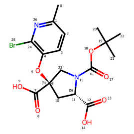 Cc1ccc(O[C@]2(C(=O)O)C[C@@H](C(=O)O)N(C(=O)OC(C)(C)C)C2)c(Br)n1